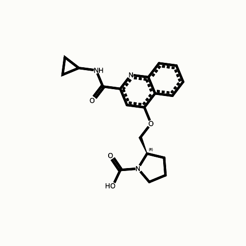 O=C(NC1CC1)c1cc(OC[C@H]2CCCN2C(=O)O)c2ccccc2n1